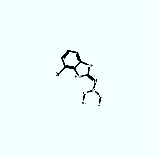 CCOP(/N=c1/[nH]c2cccc(Br)c2[nH]1)OCC